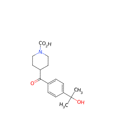 CC(C)(O)c1ccc(C(=O)C2CCN(C(=O)O)CC2)cc1